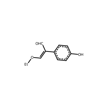 CCOC=C(C=O)c1ccc(O)cc1